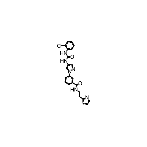 O=C(Nc1cnn(-c2cccc(C(=O)NCCc3nccs3)c2)c1)Nc1ccccc1Cl